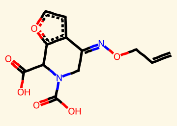 C=CCON=C1CN(C(=O)O)C(C(=O)O)c2occc21